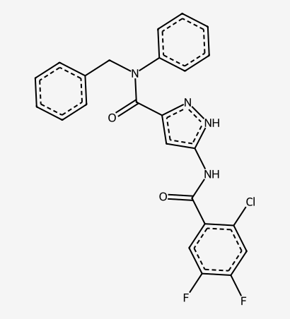 O=C(Nc1cc(C(=O)N(Cc2ccccc2)c2ccccc2)n[nH]1)c1cc(F)c(F)cc1Cl